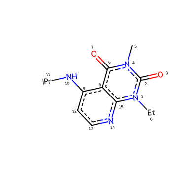 CCn1c(=O)n(C)c(=O)c2c(NC(C)C)ccnc21